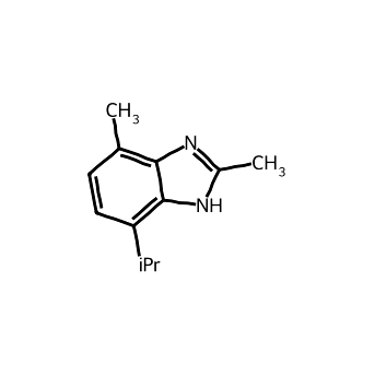 Cc1nc2c(C)ccc(C(C)C)c2[nH]1